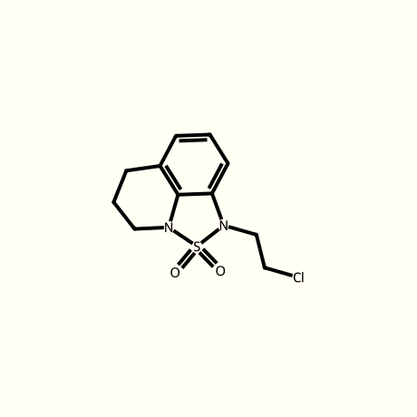 O=S1(=O)N(CCCl)c2cccc3c2N1CCC3